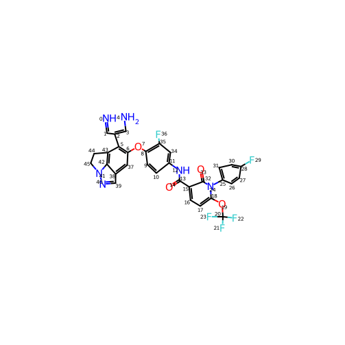 N=C/C(=C\N)c1c(Oc2ccc(NC(=O)c3ccc(OC(F)(F)F)n(-c4ccc(F)cc4)c3=O)cc2F)cc2cnn3c2c1CC3